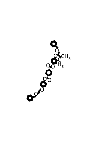 CC(C)C(COCc1ccccc1)Oc1ccc(OC(=O)[C@H]2CC[C@H](C(=O)Oc3ccc(OCCOCc4ccccc4)cc3)CC2)cc1